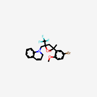 COc1ccc(Br)cc1C(C)(C)CC(O)(CN1CC=Cc2ccccc21)C(F)(F)F